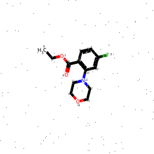 CCOC(=O)c1ccc(F)cc1N1CCOCC1